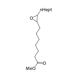 CCCCCCCC1OC1CCCCCCC(=O)OC